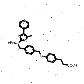 CCCN(Cc1ccc(COc2ccc(CCC(=O)O)cc2)cc1)c1nc(-c2ccccc2)c(C)o1